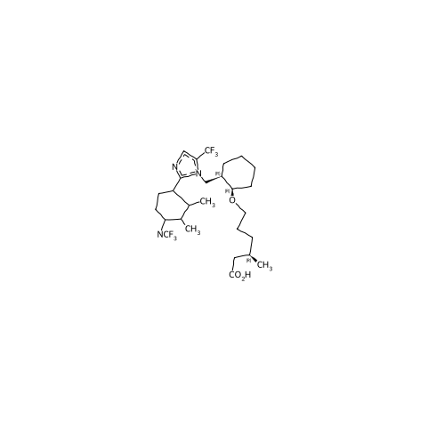 CC1C(NC(F)(F)F)CCC(c2ncc(C(F)(F)F)n2C[C@H]2CCCC[C@H]2OCCC[C@@H](C)CC(=O)O)C1C